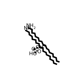 CCCCCCCCC=CCCCCCCCCN.CCCCCCCCC=CCCCCCCCCN.O=S(=O)(O)O